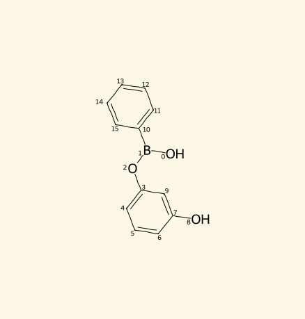 OB(Oc1cccc(O)c1)c1ccccc1